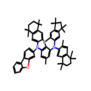 Cc1cc2c3c(c1)N(c1cc4c(cc1C)C(C)(C)CCC4(C)C)c1cc4c(cc1B3c1cc3c(cc1N2c1ccc2c(c1)oc1ccccc12)C(C)(C)CCC3(C)C)C(C)(C)CC4(C)C